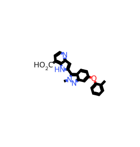 Cc1ccccc1Oc1ccc2c(-c3cc4nccc(C(=O)O)c4[nH]3)n(C)nc2c1